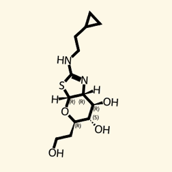 OCC[C@H]1O[C@@H]2SC(NCCC3CC3)=N[C@@H]2[C@@H](O)[C@@H]1O